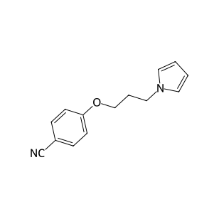 N#Cc1ccc(OCCCn2cccc2)cc1